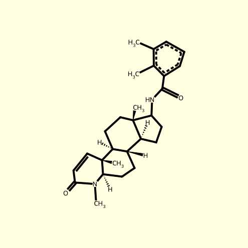 Cc1cccc(C(=O)NC2CC[C@H]3[C@@H]4CC[C@H]5N(C)C(=O)C=C[C@]5(C)[C@H]4CC[C@]23C)c1C